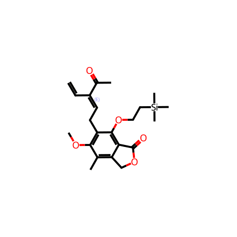 C=C/C(=C\Cc1c(OC)c(C)c2c(c1OCC[Si](C)(C)C)C(=O)OC2)C(C)=O